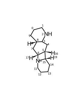 C1CNC2C[C@H]3[C@@H](C[C@@H]2C1)N1CCCC[C@@H]31